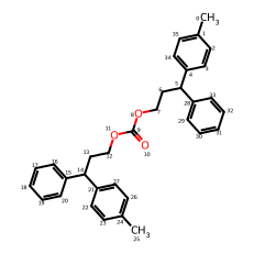 Cc1ccc(C(CCOC(=O)OCCC(c2ccccc2)c2ccc(C)cc2)c2ccccc2)cc1